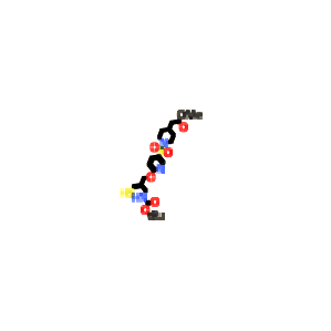 COC(=O)CC1CCN(S(=O)(=O)c2ccc(OC/C(=C/S)CNC(=O)OC(C)(C)C)nc2)CC1